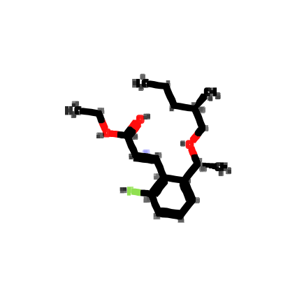 CCC[C@@H](C)CO[C@H](C)c1cccc(F)c1/C=C/C(=O)OCC